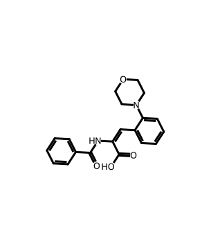 O=C(O)C(=Cc1ccccc1N1CCOCC1)NC(=O)c1ccccc1